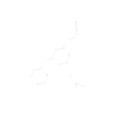 SC1CCCC(SC2CC(SCC3CS3)CC(SCC3CS3)C2)C1